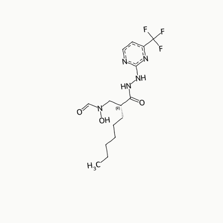 CCCCCC[C@H](CN(O)C=O)C(=O)NNc1nccc(C(F)(F)F)n1